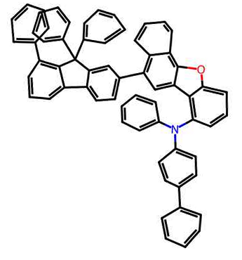 c1ccc(-c2ccc(N(c3ccccc3)c3cccc4oc5c6ccccc6c(-c6ccc7c(c6)C(c6ccccc6)(c6ccccc6)c6c(-c8ccccc8)cccc6-7)cc5c34)cc2)cc1